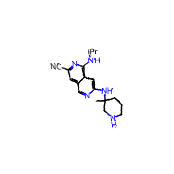 CC(C)Nc1nc(C#N)cc2cnc(NC3(C)CCCNC3)cc12